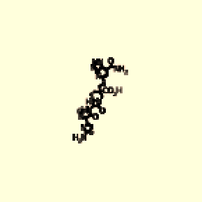 NC(=O)c1cc(SCC2(C(=O)O)CS[C@@H]3C(NC(=O)C(=NO)c4csc(N)n4)C(=O)N3C2)nn2nnnc12